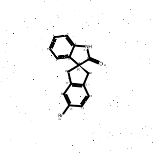 O=C1Nc2ccccc2[C@]12Cc1ccc(Br)cc1C2